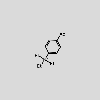 CC[N+](CC)(CC)c1ccc(C(C)=O)cc1